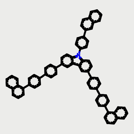 c1ccc2cc(-c3ccc(-n4c5ccc(-c6ccc(-c7ccc(-c8cccc9ccccc89)cc7)cc6)cc5c5cc(-c6ccc(-c7ccc(-c8cccc9ccccc89)cc7)cc6)ccc54)cc3)ccc2c1